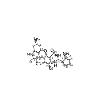 CCCC1CC(=O)C2=C(C1)NC(C)=C(C#N)C2c1cc(Br)c(NCc2ccccc2N)c(C(N)=O)c1